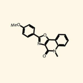 COc1ccc(-c2nc3c(=O)n(C)c4ccccc4c3o2)cc1